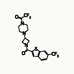 O=C(c1cc2ccc(C(F)(F)F)cc2s1)N1CC(N2CCN(C(=O)C(F)(F)F)CC2)C1